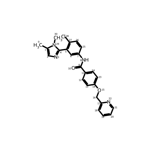 Cc1cnc(-c2cc(NC(=O)c3ccc(OCc4ccccn4)cc3)ccc2Cl)n1C